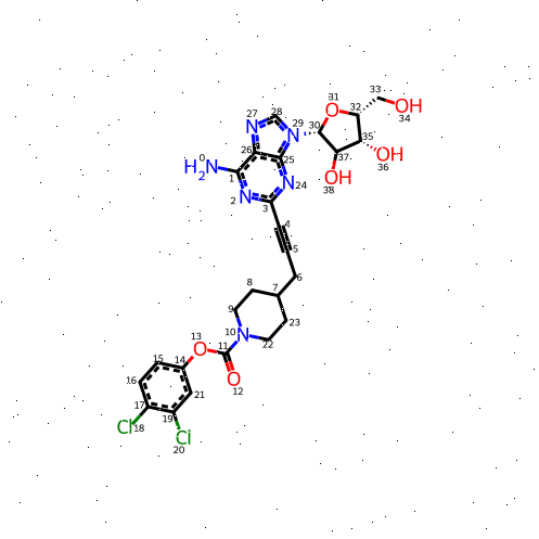 Nc1nc(C#CCC2CCN(C(=O)Oc3ccc(Cl)c(Cl)c3)CC2)nc2c1ncn2[C@@H]1O[C@H](CO)[C@H](O)C1O